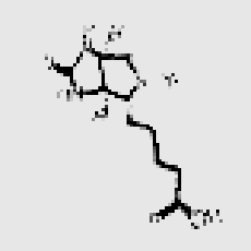 O=C(O)CCCC[C@@H]1SC[C@@H]2NC(=O)N[C@@H]21.[Y]